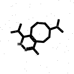 CC1=NNC(C(C)C)C2=C1CCC(C(C)C)CCC2